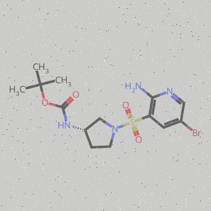 CC(C)(C)OC(=O)N[C@H]1CCN(S(=O)(=O)c2cc(Br)cnc2N)C1